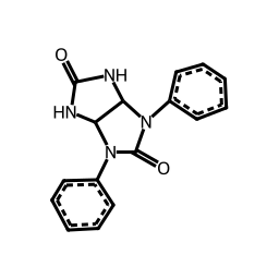 O=C1NC2C(N1)N(c1ccccc1)C(=O)N2c1ccccc1